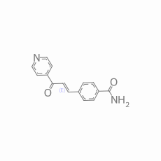 NC(=O)c1ccc(/C=C/C(=O)c2ccncc2)cc1